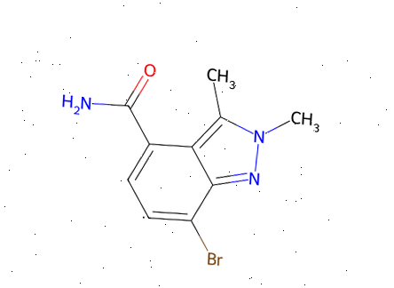 Cc1c2c(C(N)=O)c[c]c(Br)c2nn1C